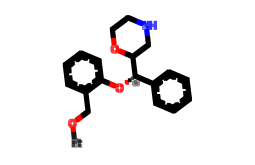 CCOCc1ccccc1O[C@@H](c1ccccc1)C1CNCCO1